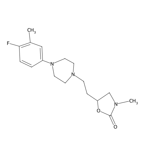 Cc1cc(N2CCN(CCC3CN(C)C(=O)O3)CC2)ccc1F